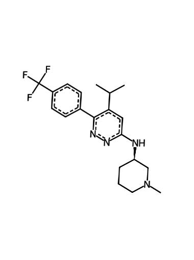 CC(C)c1cc(N[C@@H]2CCCN(C)C2)nnc1-c1ccc(C(F)(F)F)cc1